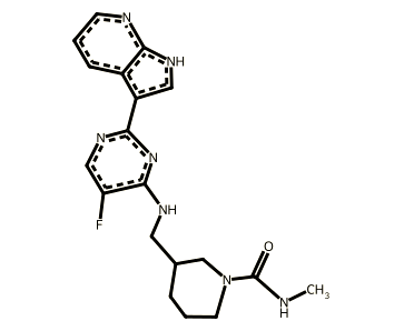 CNC(=O)N1CCCC(CNc2nc(-c3c[nH]c4ncccc34)ncc2F)C1